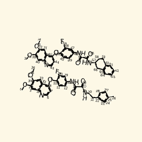 COc1cc2nccc(Oc3ccc(NC(=O)C(=O)NCCc4ccc(C)cc4)cc3F)c2cc1OC.COc1cc2nccc(Oc3ccc(NC(=O)C(=O)N[C@H]4CCc5ccccc5C4)cc3F)c2cc1OC